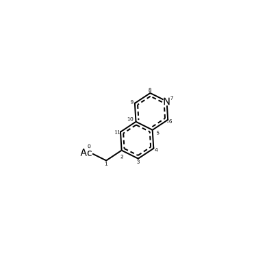 CC(=O)Cc1ccc2[c]nccc2c1